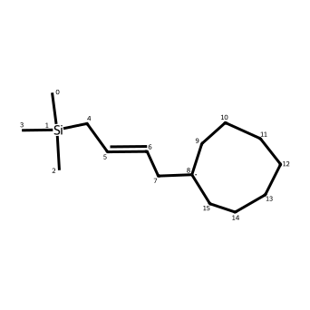 C[Si](C)(C)CC=CC[C]1CCCCCCC1